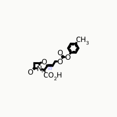 Cc1ccc(OC(=O)OC/C=C2\OC3CC(=O)N3[C@H]2C(=O)O)cc1